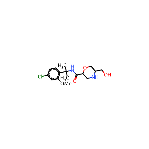 COc1cc(Cl)ccc1C(C)(C)NC(=O)C1CNC(CO)CO1